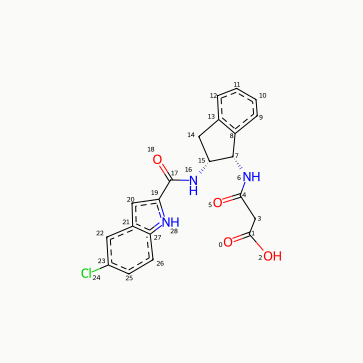 O=C(O)CC(=O)N[C@H]1c2ccccc2C[C@H]1NC(=O)c1cc2cc(Cl)ccc2[nH]1